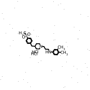 Cc1ccc(NCCCN2CCC(Cc3ccc(S(C)(=O)=O)cc3)CC2)cc1C.Cl.Cl